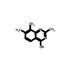 Cc1nc(O)c2ccc(C)c(C)c2n1